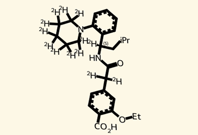 [2H]C([2H])(C(=O)N[C@@]([2H])(CC(C)C)c1ccccc1N1C([2H])([2H])C([2H])([2H])C([2H])([2H])C([2H])([2H])C1([2H])[2H])c1ccc(C(=O)O)c(OCC)c1